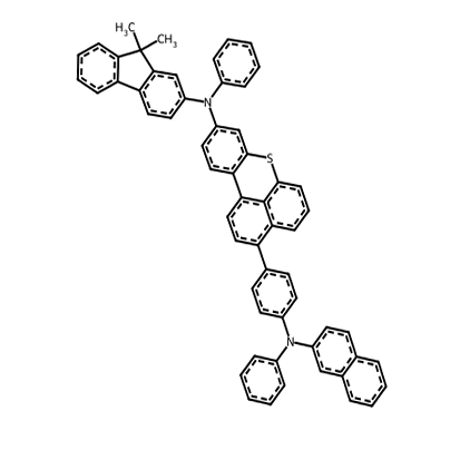 CC1(C)c2ccccc2-c2ccc(N(c3ccccc3)c3ccc4c(c3)Sc3cccc5c(-c6ccc(N(c7ccccc7)c7ccc8ccccc8c7)cc6)ccc-4c35)cc21